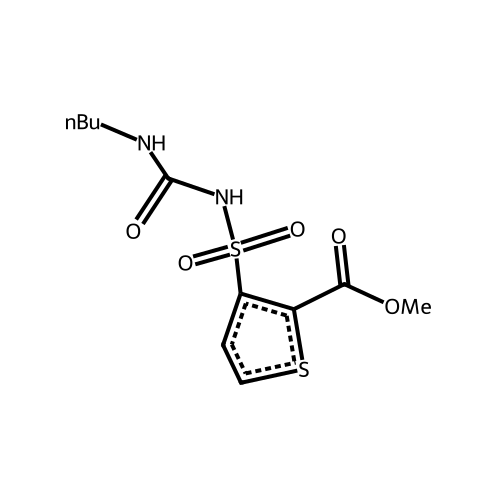 CCCCNC(=O)NS(=O)(=O)c1ccsc1C(=O)OC